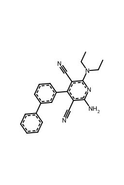 CCN(CC)c1nc(N)c(C#N)c(-c2cccc(-c3ccccc3)c2)c1C#N